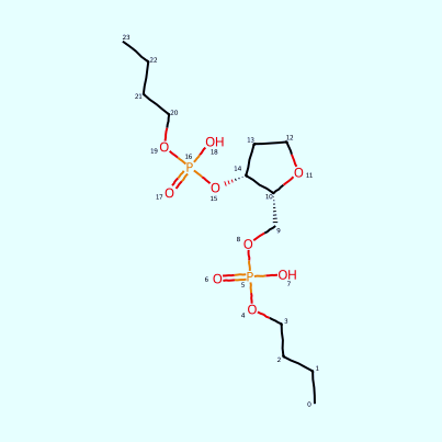 CCCCOP(=O)(O)OC[C@H]1OCC[C@H]1OP(=O)(O)OCCCC